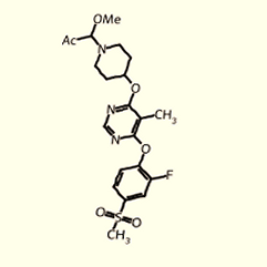 COC(C(C)=O)N1CCC(Oc2ncnc(Oc3ccc(S(C)(=O)=O)cc3F)c2C)CC1